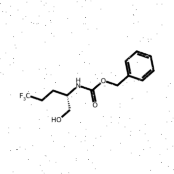 O=C(N[C@H](CO)CCC(F)(F)F)OCc1ccccc1